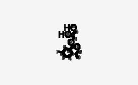 CC(C)[C@@H]1CC[C@@H](C)CC1C(=O)OCC(O)CO